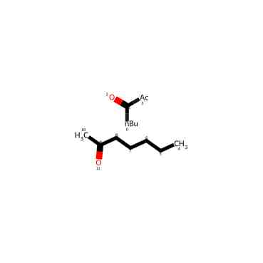 CCCCC(=O)C(C)=O.CCCCCC(C)=O